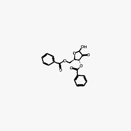 O=C(OC[C@H]1OC(O)C(=O)[C@@H]1OC(=O)c1ccccc1)c1ccccc1